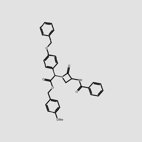 COc1ccc(COC(=O)C(c2ccc(OCc3ccccc3)cc2)N2CC(NC(=O)c3ccccc3)C2=O)cc1